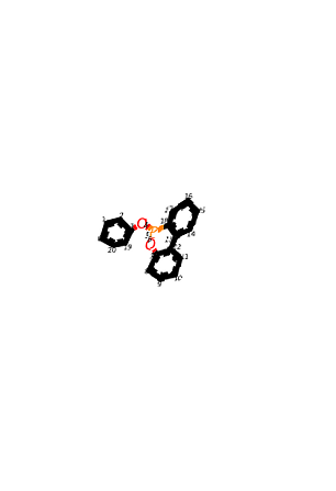 c1ccc(OP2Oc3ccccc3-c3ccccc32)cc1